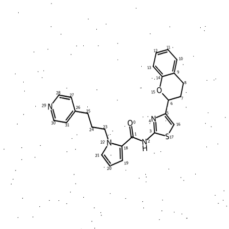 O=C(Nc1nc(C2CCc3ccccc3O2)cs1)c1cccn1CCCc1ccncc1